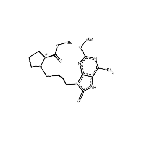 CCCCOc1nc(N)c2[nH]c(=O)n(CCCN3CCC[C@H]3C(=O)OC(C)(C)C)c2n1